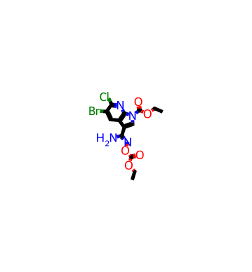 CCOC(=O)O/N=C(\N)c1cn(C(=O)OCC)c2nc(Cl)c(Br)cc12